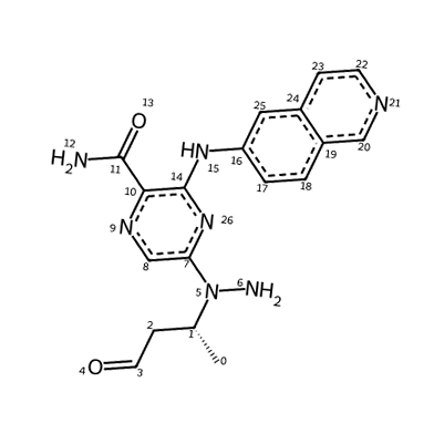 C[C@H](CC=O)N(N)c1cnc(C(N)=O)c(Nc2ccc3cnccc3c2)n1